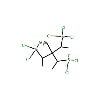 CC(C([SiH3])(C(C)[Si](Cl)(Cl)Cl)C(C)[Si](Cl)(Cl)Cl)[Si](Cl)(Cl)Cl